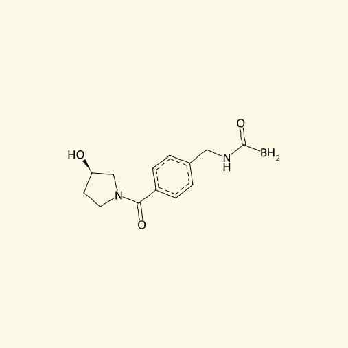 BC(=O)NCc1ccc(C(=O)N2CC[C@@H](O)C2)cc1